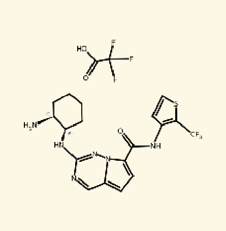 N[C@H]1CCCC[C@H]1Nc1ncc2ccc(C(=O)Nc3ccsc3C(F)(F)F)n2n1.O=C(O)C(F)(F)F